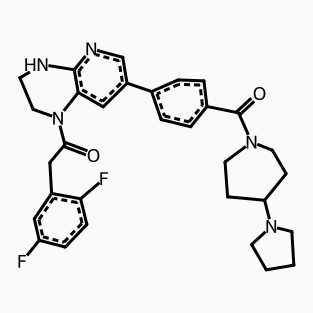 O=C(c1ccc(-c2cnc3c(c2)N(C(=O)Cc2cc(F)ccc2F)CCN3)cc1)N1CCC(N2CCCC2)CC1